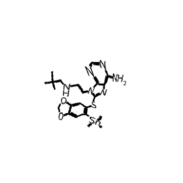 CC(C)(C)CNCCn1c(Sc2cc3c(c[c]2[Sn]([CH3])([CH3])[CH3])OCO3)nc2c(N)ncnc21